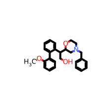 COc1ccccc1-c1ccccc1C(CO)C1CN(Cc2ccccc2)CCO1